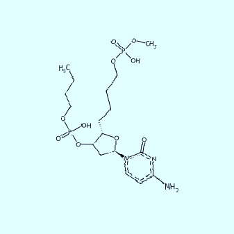 CCCCOP(=O)(O)OC1C[C@H](n2ccc(N)nc2=O)O[C@H]1CCCCOP(=O)(O)OC